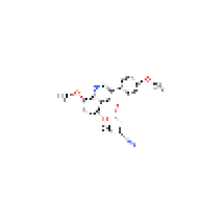 COc1ccc(-c2cnc3c(OC)ccc(OC)c3c2OCCCC#N)cc1